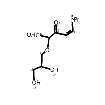 CCC/C=C\C(=O)C([C]=O)OCC(O)CO